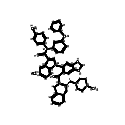 CN1CCN(C[C@@H]2Cc3ccccc3CN2C(=O)c2cc3c(cc2-n2cc(C(=O)N(c4ccc(O)cc4)c4cccc(Oc5ccccc5)c4)c4ccccc42)OCO3)CC1.Cl